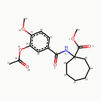 COC(=O)C1(NC(=O)c2ccc(OC)c(OC(C)=O)c2)CCCCCC1